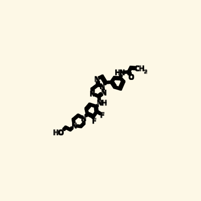 C=CC(=O)Nc1cccc(-c2cnc3cnc(Nc4ccc(N5CCN(CCO)CC5)c(F)c4F)nn23)c1